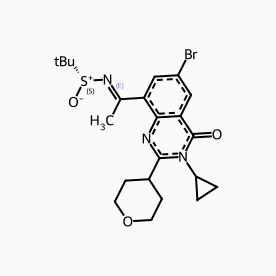 C/C(=N\[S@+]([O-])C(C)(C)C)c1cc(Br)cc2c(=O)n(C3CC3)c(C3CCOCC3)nc12